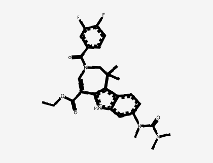 CCOC(=O)C1=CN(C(=O)c2ccc(F)c(F)c2)CC(C)(C)c2c1[nH]c1cc(N(C)C(=O)N(C)C)ccc21